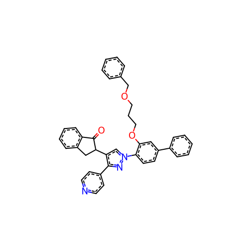 O=C1c2ccccc2CC1c1cn(-c2ccc(-c3ccccc3)cc2OCCCOCc2ccccc2)nc1-c1ccncc1